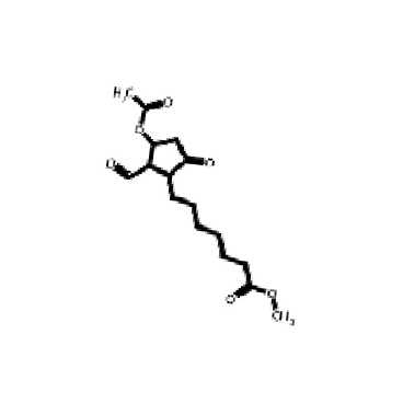 COC(=O)CCCCCCC1C(=O)CC(OC(C)=O)C1C=O